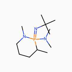 CC1CCCN(C)P1(=NC(C)(C)C)N(C)C